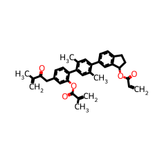 C=CC(=O)OC1CCc2ccc(-c3cc(C)c(-c4ccc(CC(=O)C(=C)C)cc4OC(=O)C(=C)C)cc3C)cc21